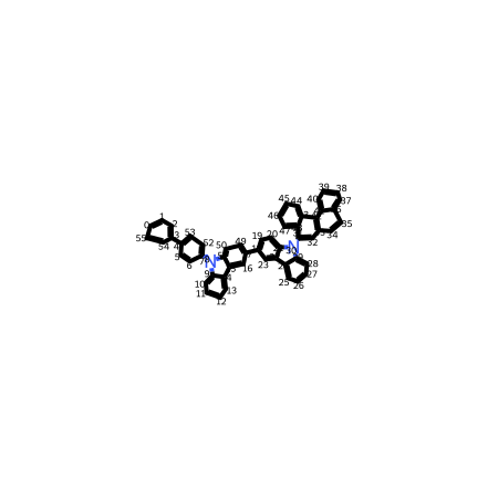 c1ccc(-c2ccc(-n3c4ccccc4c4cc(-c5ccc6c(c5)c5ccccc5n6-c5cc6ccc7ccccc7c6c6ccccc56)ccc43)cc2)cc1